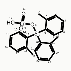 Cc1ccccc1[Si]([O][Cr](=[O])(=[O])[OH])(c1ccccc1C)c1ccccc1C